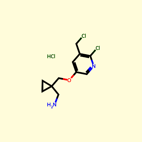 Cl.NCC1(COc2cnc(Cl)c(CCl)c2)CC1